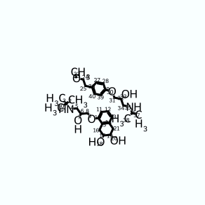 CC(C)(C)NCC(O)COc1cccc2c1C[C@H](O)[C@H](O)C2.COCCc1ccc(OCC(O)CNC(C)C)cc1